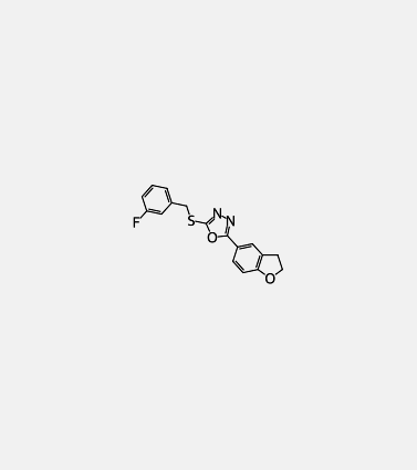 Fc1cccc(CSc2nnc(-c3ccc4c(c3)CCO4)o2)c1